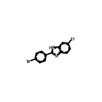 CCc1ccc2nc(-c3ccc(Br)cc3)[nH]c2c1